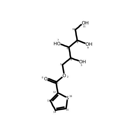 O=C(OCC(O)C(O)C(O)CO)c1cccs1